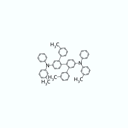 Cc1cccc(-c2cc(N(c3ccccc3)c3cccc(C)c3)ccc2-c2ccc(N(c3ccccc3)c3cccc(C)c3)cc2-c2cccc(C)c2)c1